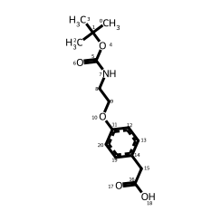 CC(C)(C)OC(=O)NCCOc1ccc(CC(=O)O)cc1